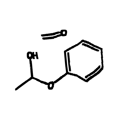 C=O.CC(O)Oc1ccccc1